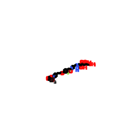 O=C(Cc1ccc(OCCCC2CCN(C(=O)OC3(C(F)(F)F)COC3)CC2)cc1F)N1CC(CNC[C@H](O)[C@@H](O)C[C@H](O)CO)C1